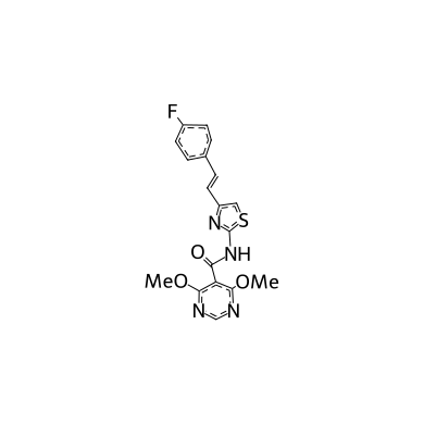 COc1ncnc(OC)c1C(=O)Nc1nc(/C=C/c2ccc(F)cc2)cs1